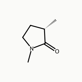 C[C@H]1CCN(C)C1=O